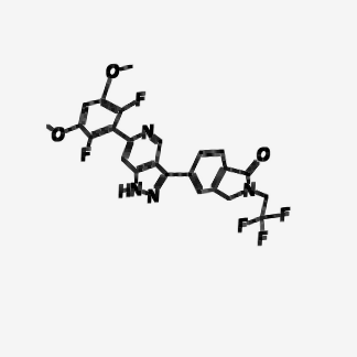 COc1cc(OC)c(F)c(-c2cc3[nH]nc(-c4ccc5c(c4)CN(CC(F)(F)F)C5=O)c3cn2)c1F